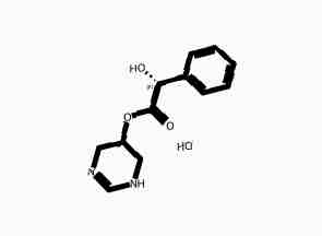 Cl.O=C(OC1CN=CNC1)[C@H](O)c1ccccc1